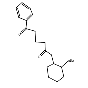 CCCCC1CCCCC1CC(=O)CCCC(=O)c1ccccc1